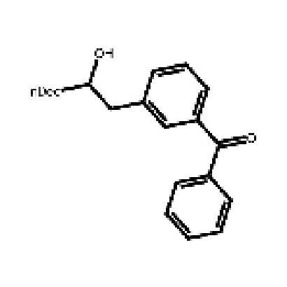 CCCCCCCCCCC(O)Cc1cccc(C(=O)c2ccccc2)c1